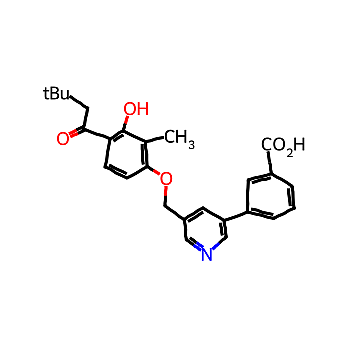 Cc1c(OCc2cncc(-c3cccc(C(=O)O)c3)c2)ccc(C(=O)CC(C)(C)C)c1O